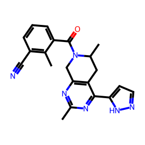 Cc1nc2c(c(-c3ccn[nH]3)n1)CC(C)N(C(=O)c1cccc(C#N)c1C)C2